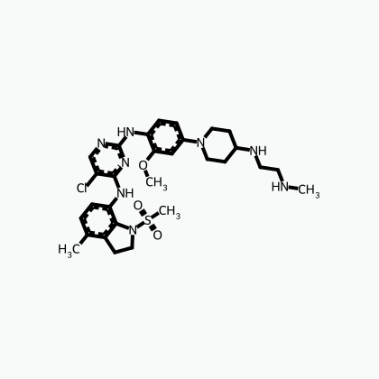 CNCCNC1CCN(c2ccc(Nc3ncc(Cl)c(Nc4ccc(C)c5c4N(S(C)(=O)=O)CC5)n3)c(OC)c2)CC1